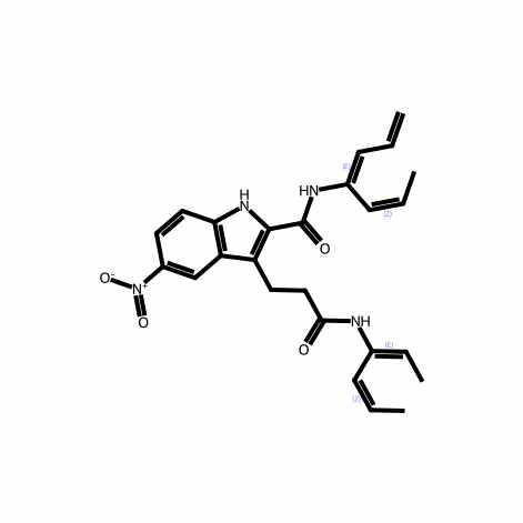 C=C/C=C(\C=C/C)NC(=O)c1[nH]c2ccc([N+](=O)[O-])cc2c1CCC(=O)NC(/C=C\C)=C/C